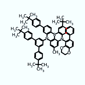 Cc1cc2c3c(c1)N(c1c(-c4ccccc4)ccc4c1OCCO4)c1ccc(C(C)(C)C)cc1B3c1ccc(-c3ccc(C(C)(C)C)cc3)cc1N2c1cc(-c2ccc(C(C)(C)C)cc2)cc(-c2ccc(C(C)(C)C)cc2)c1